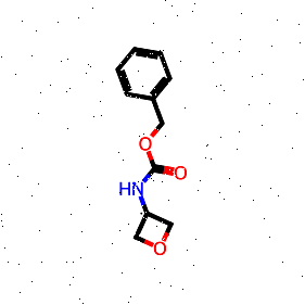 O=C(N[C]1COC1)OCc1ccccc1